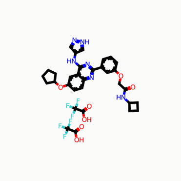 O=C(COc1cccc(-c2nc(Nc3cn[nH]c3)c3cc(OC4CCCC4)ccc3n2)c1)NC1CCC1.O=C(O)C(F)(F)F.O=C(O)C(F)(F)F